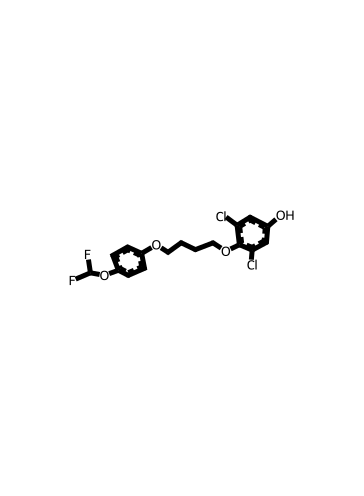 Oc1cc(Cl)c(OCCCCOc2ccc(OC(F)F)cc2)c(Cl)c1